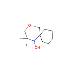 CC1(C)COCC2(CCCCC2)N1O